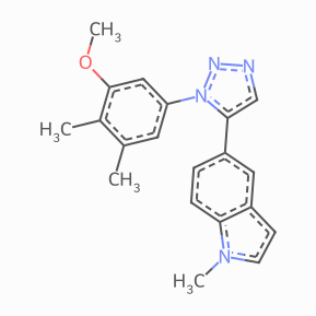 COc1cc(-n2nncc2-c2ccc3c(ccn3C)c2)cc(C)c1C